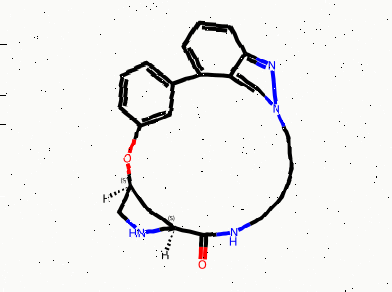 O=C1NCCCCn2cc3c(cccc3n2)-c2cccc(c2)O[C@@H]2CN[C@H]1C2